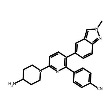 Cn1cc2cc(-c3ccc(N4CCC(N)CC4)nc3-c3ccc(C#N)cc3)ccc2n1